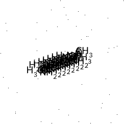 COCC(CSCC(CC(CC(CC(CC(CC(CC(CC(CC(CC(CC(CC(CC(CC(CC(C)C(N)=O)C(N)=O)C(N)=O)C(N)=O)C(N)=O)C(N)=O)C(N)=O)C(N)=O)C(N)=O)C(N)=O)C(N)=O)C(N)=O)C(N)=O)C(N)=O)C(N)=O)OC